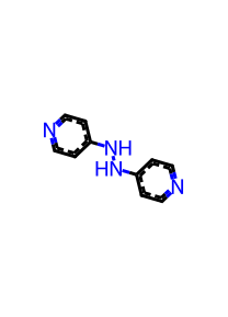 c1cc(NNc2ccncc2)ccn1